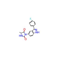 CC1NC(=O)N(c2ccc3[nH]nc(-c4ccc(F)cc4)c3c2)C1=O